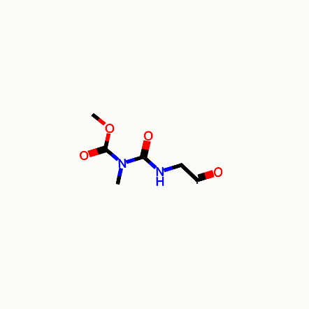 COC(=O)N(C)C(=O)NC[C]=O